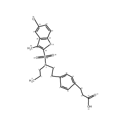 CCCN(CCc1ccc(CCC(=O)O)cc1)S(=O)(=O)c1sc2ccc(Cl)cc2c1C